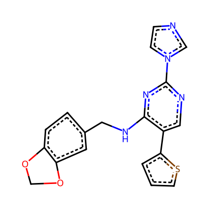 c1csc(-c2cnc(-n3ccnc3)nc2NCc2ccc3c(c2)OCO3)c1